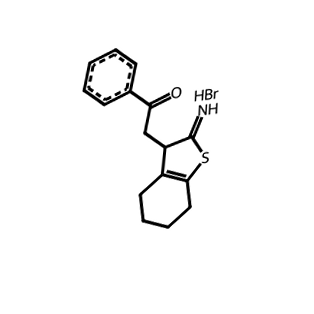 Br.N=C1SC2=C(CCCC2)C1CC(=O)c1ccccc1